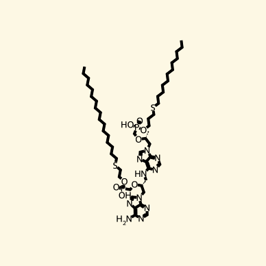 CCCCCCCCCCCCCCCCCSCCOP(=O)(O)CO[C@H](CNc1ncnc2c1ncn2C[C@@H](C)OCP(=O)(O)OCCCSCCCCCCCCCCCC)Cn1cnc2c(N)ncnc21